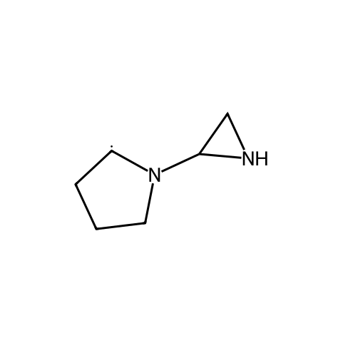 [CH]1CCCN1C1CN1